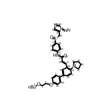 CCCCOCCOc1ccc(-c2ccc(N3CCCC3)c(C=CC(=O)Nc3ccc([S+]([O-])Cc4cncn4CCC)cc3)c2)cc1